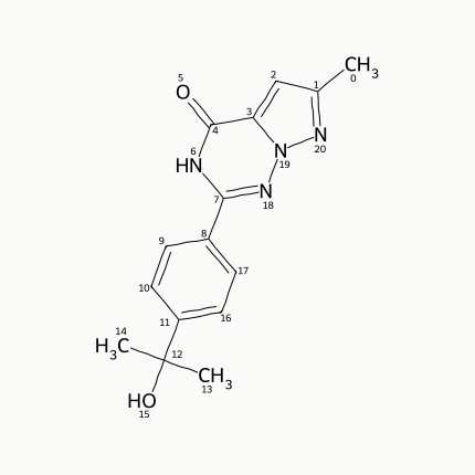 Cc1cc2c(=O)[nH]c(-c3ccc(C(C)(C)O)cc3)nn2n1